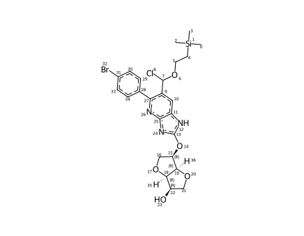 C[Si](C)(C)CCOC(Cl)c1cc2[nH]c(O[C@@H]3CO[C@H]4[C@@H]3OC[C@H]4O)nc2nc1-c1ccc(Br)cc1